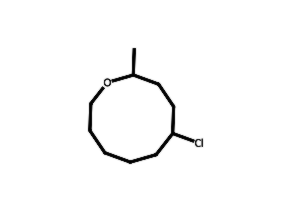 CC1CCC(Cl)CCCCCO1